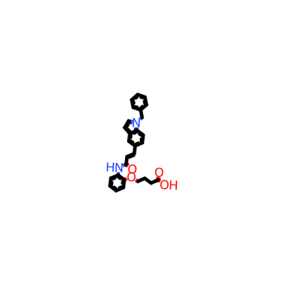 O=C(O)CCCOc1ccccc1NC(=O)C=Cc1ccc2c(ccn2Cc2ccccc2)c1